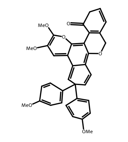 COC1=C(OC)Oc2c3c(c4c(c2=C1)=CC(c1ccc(OC)cc1)(c1ccc(OC)cc1)C=C4)OCC1=C3C(=O)CC=C1